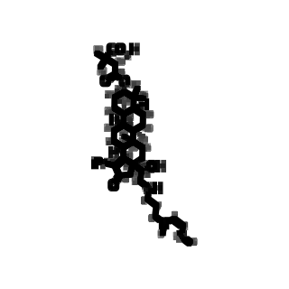 C=N/C=C\N(C)CCCNC[C@@H](O)[C@@]12CC[C@]3(C)[C@H](CC[C@@H]4[C@@]5(C)CC[C@H](OC(=O)CC(C)(C)C(=O)O)C(C)(C)[C@@H]5CC[C@]43C)C1=C(C(C)C)C(=O)C2